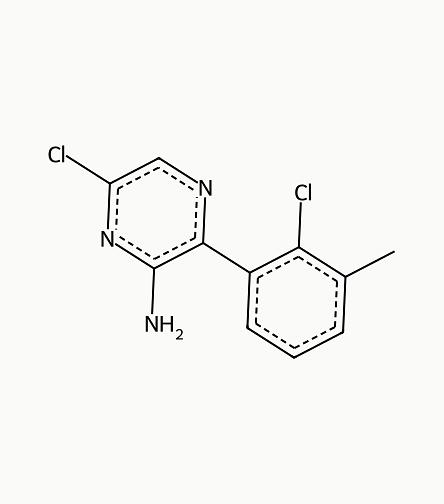 Cc1cccc(-c2ncc(Cl)nc2N)c1Cl